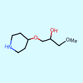 COCC(O)COC1CCNCC1